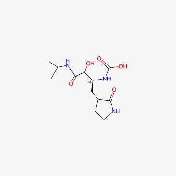 CC(C)NC(=O)C(O)[C@H](CC1CCNC1=O)NC(=O)O